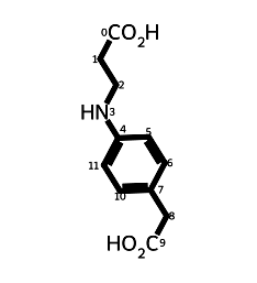 O=C(O)CCNc1ccc(CC(=O)O)cc1